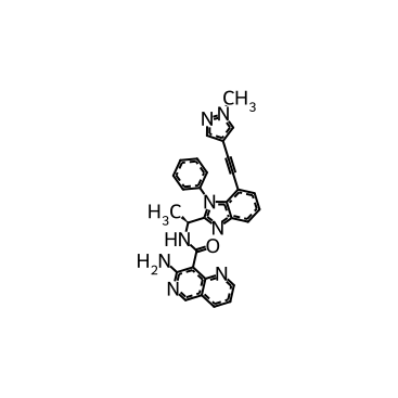 C[C@H](NC(=O)c1c(N)ncc2cccnc12)c1nc2cccc(C#Cc3cnn(C)c3)c2n1-c1ccccc1